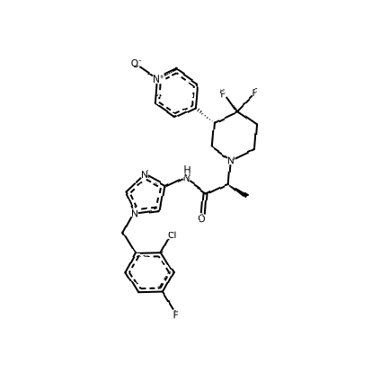 C[C@@H](C(=O)Nc1cn(Cc2ccc(F)cc2Cl)cn1)N1CCC(F)(F)[C@@H](c2cc[n+]([O-])cc2)C1